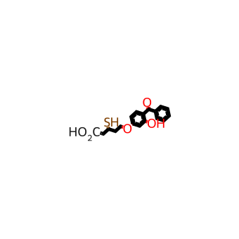 O=C(O)CC(S)CCOc1ccc(C(=O)c2ccccc2)c(O)c1